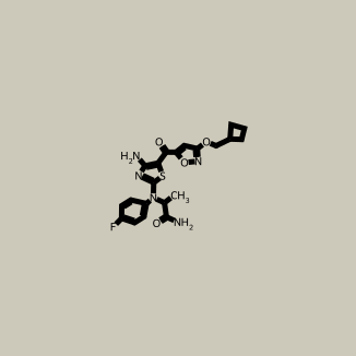 CC(C(N)=O)N(c1ccc(F)cc1)c1nc(N)c(C(=O)c2cc(OCC3CCC3)no2)s1